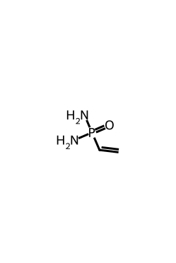 C=CP(N)(N)=O